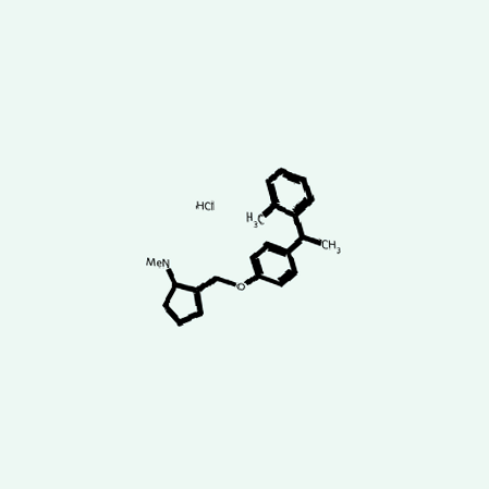 CNC1CCCC1COc1ccc(C(C)c2ccccc2C)cc1.Cl